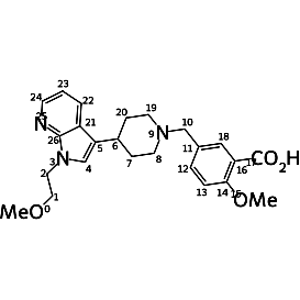 COCCn1cc(C2CCN(Cc3ccc(OC)c(C(=O)O)c3)CC2)c2cccnc21